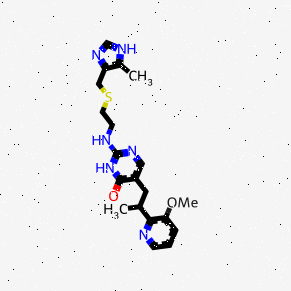 COc1cccnc1C(C)Cc1cnc(NCCSCc2nc[nH]c2C)[nH]c1=O